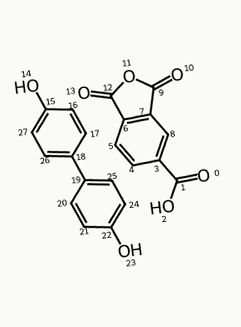 O=C(O)c1ccc2c(c1)C(=O)OC2=O.Oc1ccc(-c2ccc(O)cc2)cc1